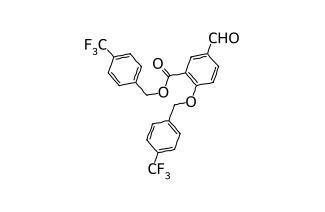 O=Cc1ccc(OCc2ccc(C(F)(F)F)cc2)c(C(=O)OCc2ccc(C(F)(F)F)cc2)c1